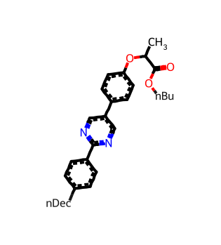 CCCCCCCCCCc1ccc(-c2ncc(-c3ccc(OC(C)C(=O)OCCCC)cc3)cn2)cc1